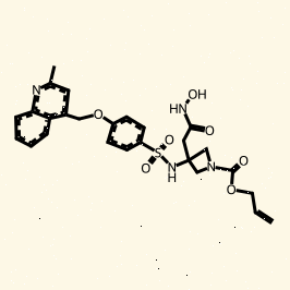 C=CCOC(=O)N1CC(CC(=O)NO)(NS(=O)(=O)c2ccc(OCc3cc(C)nc4ccccc34)cc2)C1